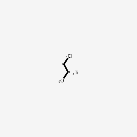 [O]CCCl.[Ti]